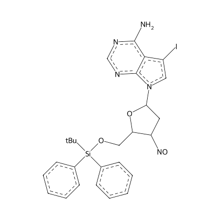 CC(C)(C)[Si](OCC1OC(n2cc(I)c3c(N)ncnc32)CC1N=O)(c1ccccc1)c1ccccc1